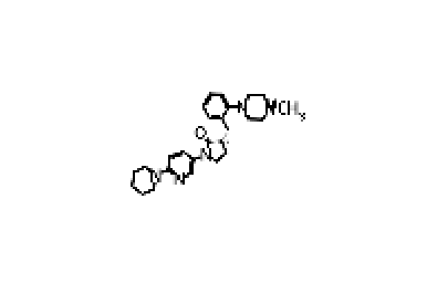 [11CH3]N1CCN(c2ccccc2C[C@@H]2CCN(c3ccc(N4CCCCC4)nc3)C2=O)CC1